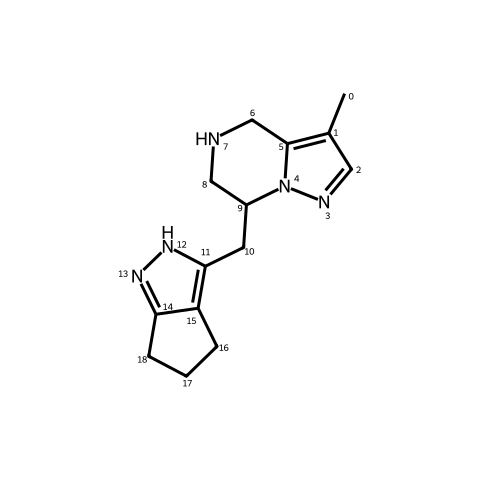 Cc1cnn2c1CNCC2Cc1[nH]nc2c1CCC2